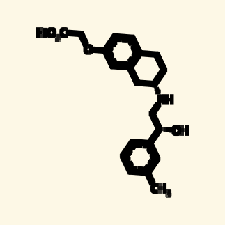 CCOC(=O)COc1ccc2c(c1)C[C@@H](NC[C@H](O)c1cccc(C)c1)CC2